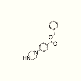 O=C(OCc1ccccc1)c1ccc(N2CCNCC2)cc1